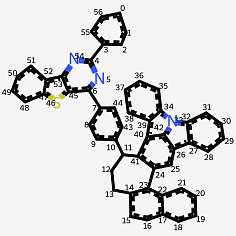 c1ccc(-c2nc(-c3ccc(C4CCc5ccc6ccccc6c5-c5cc6c7ccccc7n7c8ccccc8c(c54)c67)cc3)c3sc4ccccc4c3n2)cc1